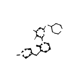 CCn1cc(Cc2cccn(-c3nc(OC4CCOCC4)cc(C(F)(F)F)c3F)c2=O)cn1